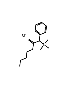 C=C(CCCCC)C(c1ccccc1)[N+](C)(C)C.[Cl-]